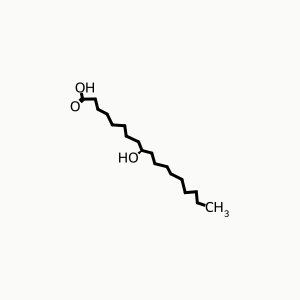 CCCCCCCCC[C@@H](O)CCCCCCCC(=O)O